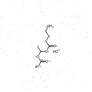 CC(OC(=O)SCCN)OC(=O)C(C)C.Cl